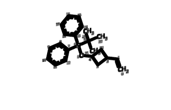 C=CC1CC(O[Si](c2ccccc2)(c2ccccc2)C(C)(C)C)C1